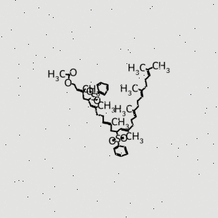 CC(=O)OC/C=C(\C)CC(/C=C(\C)CC/C=C(\C)CC(/C=C(\C)CC/C=C(\C)CC/C=C(\C)CCC=C(C)C)S(=O)(=O)c1ccccc1)S(=O)(=O)c1ccccc1